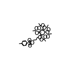 CC(=O)OC1C(OC(C)=O)[C@@H](OCCCOS(=O)(=O)c2ccc(C)cc2)[C@@H](OC(C)=O)C(OC(C)=O)[C@H]1OC(C)=O